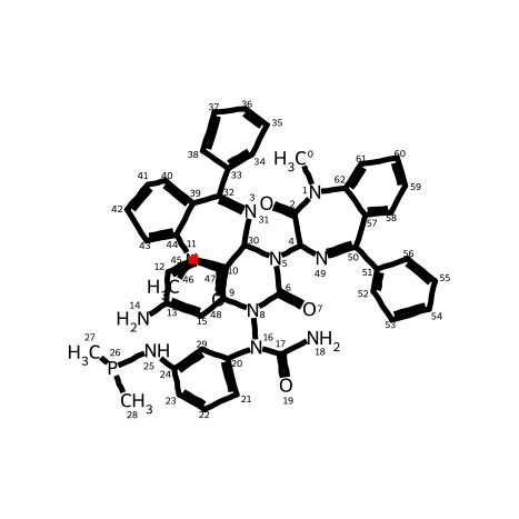 CN1C(=O)C(N(C(=O)N(c2cccc(N)c2)N(C(N)=O)c2cccc(NP(C)C)c2)C2N=C(c3ccccc3)c3ccccc3N(C)C2=O)N=C(c2ccccc2)c2ccccc21